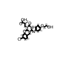 C[C@@H](Cn1c(=O)[nH]/c(=N\c2ccc(OCCO)cc2)n(Cc2ccc(Cl)cc2)c1=O)C(=O)O